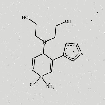 NC1(Cl)C=CC(N(CCO)CCO)C(c2ccsc2)=C1